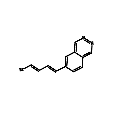 [CH2]CC=CC=Cc1ccc2cnncc2c1